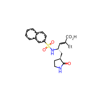 CCC(=C[C@H](C[C@@H]1CCNC1=O)NS(=O)(=O)c1ccc2ccccc2c1)C(=O)O